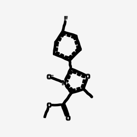 COC(=O)c1c(C)oc(-c2ccc(F)cc2)[n+]1[O-]